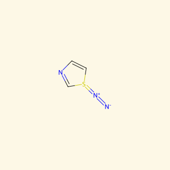 [N-]=[N+]=S1C=CN=C1